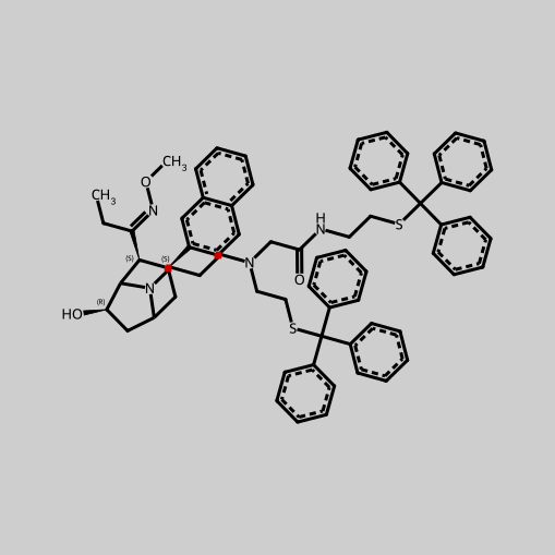 CCC(=NOC)[C@@H]1C2[C@H](O)CC(C[C@@H]1c1ccc3ccccc3c1)N2CCCN(CCSC(c1ccccc1)(c1ccccc1)c1ccccc1)CC(=O)NCCSC(c1ccccc1)(c1ccccc1)c1ccccc1